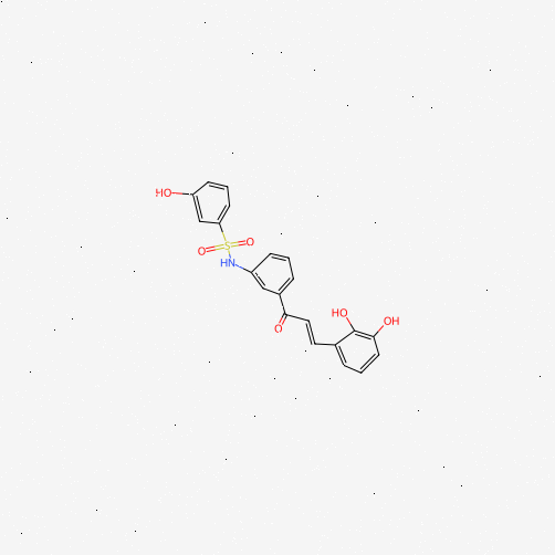 O=C(/C=C/c1cccc(O)c1O)c1cccc(NS(=O)(=O)c2cccc(O)c2)c1